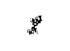 CC(=O)Nc1ccc(-c2cc3c(c(P(C)(C)=O)c2)C(=O)N([C@@H](C)C2CC2)C3)c(C)n1